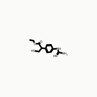 CCOC(=O)C(CS)c1ccc(NC(=N)N)cc1